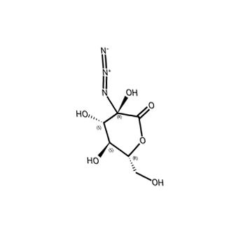 [N-]=[N+]=N[C@]1(O)C(=O)O[C@H](CO)[C@@H](O)[C@@H]1O